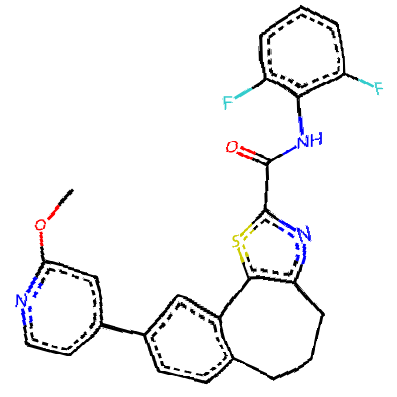 COc1cc(-c2ccc3c(c2)-c2sc(C(=O)Nc4c(F)cccc4F)nc2CCC3)ccn1